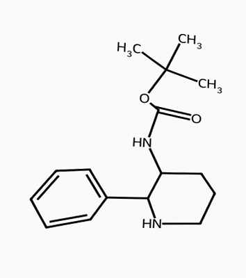 CC(C)(C)OC(=O)NC1CCCNC1c1ccccc1